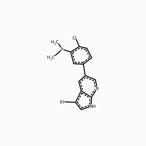 CCc1c[nH]c2ncc(-c3ccc(Cl)c(P(C)C)c3)cc12